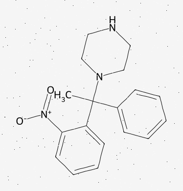 CC(c1ccccc1)(c1ccccc1[N+](=O)[O-])N1CCNCC1